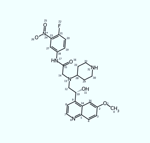 COc1ccc2nccc([C@@H](O)CN(CC(=O)Nc3ccc(F)c([N+](=O)[O-])c3)C3CCNCC3)c2c1